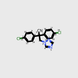 N#CC(Cn1cncn1)(c1ccc(Cl)cc1)c1ccc(Cl)cc1